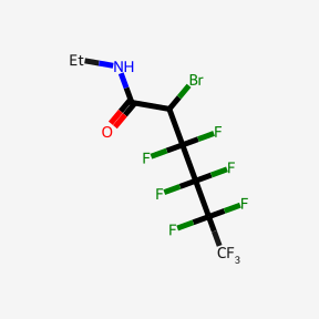 CCNC(=O)C(Br)C(F)(F)C(F)(F)C(F)(F)C(F)(F)F